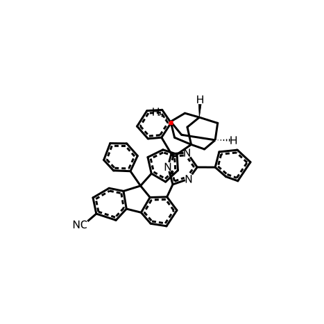 N#Cc1ccc2c(c1)-c1cccc(-c3nc(-c4ccccc4)nc(-c4ccccc4)n3)c1C2(c1ccccc1)c1ccc(C23C[C@H]4C[C@@H](C2)C[C@@H](C3)C4)cc1